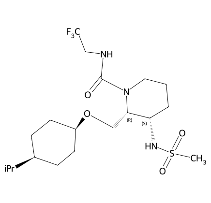 CC(C)[C@H]1CC[C@@H](OC[C@H]2[C@@H](NS(C)(=O)=O)CCCN2C(=O)NCC(F)(F)F)CC1